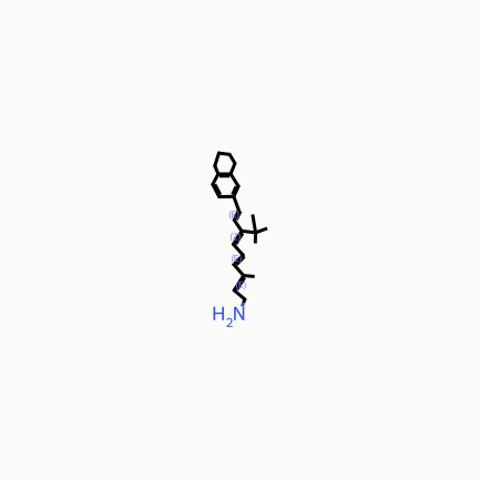 CC(/C=C/C=C(/C=C/c1ccc2c(c1)CCCC2)C(C)(C)C)=C\CN